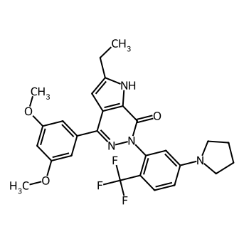 CCc1cc2c(-c3cc(OC)cc(OC)c3)nn(-c3cc(N4CCCC4)ccc3C(F)(F)F)c(=O)c2[nH]1